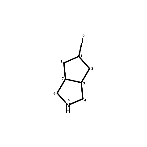 IC1CC2CNCC2C1